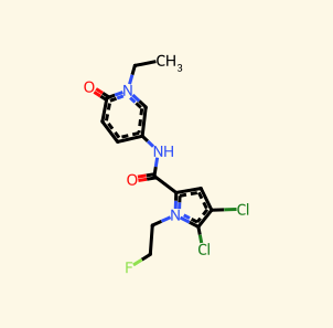 CCn1cc(NC(=O)c2cc(Cl)c(Cl)n2CCF)ccc1=O